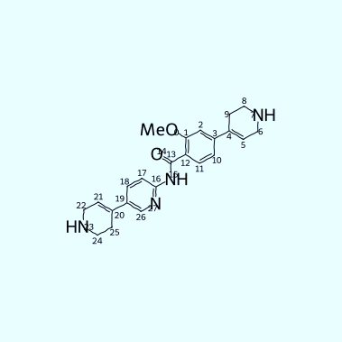 COc1cc(C2=CCNCC2)ccc1C(=O)Nc1ccc(C2=CCNCC2)cn1